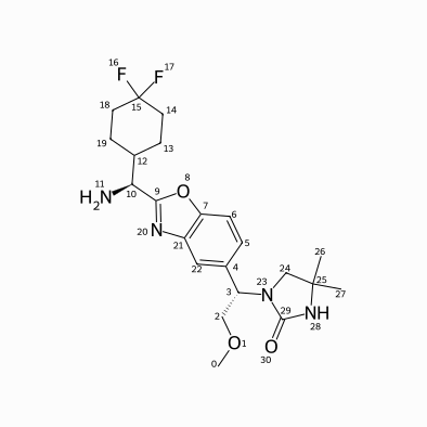 COC[C@H](c1ccc2oc([C@@H](N)C3CCC(F)(F)CC3)nc2c1)N1CC(C)(C)NC1=O